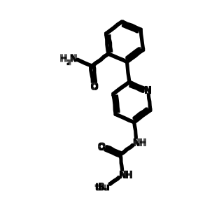 CC(C)(C)NC(=O)Nc1ccc(-c2ccccc2C(N)=O)nc1